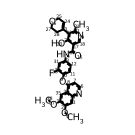 COc1cc2nccc(Oc3ccc(NC(=O)c4cnc(C)c(C5=CCOCC5)c4O)cc3F)c2cc1OC